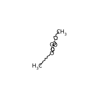 CCCCCCCCCCOc1ccc([C@H]2OC[C@H](C3CCC(CCC)CC3)CO2)cc1